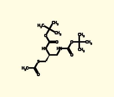 CC(=O)SC[C@@H](CNC(=O)OC(C)(C)C)NC(=O)OC(C)(C)C